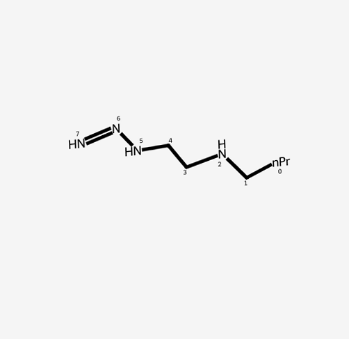 CCCCNCCNN=N